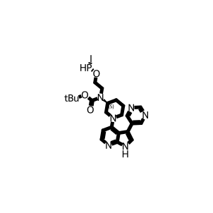 CC(C)(C)OC(=O)N(CCOPI)[C@H]1CCCN(c2ccnc3[nH]cc(-c4cncnc4)c23)C1